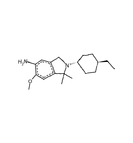 CC[C@H]1CC[C@H](N2Cc3cc(N)c(OC)cc3C2(C)C)CC1